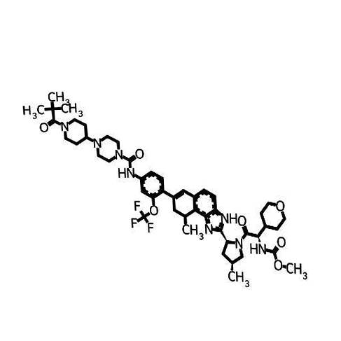 COC(=O)N[C@H](C(=O)N1C[C@@H](C)C[C@H]1c1nc2c3c(ccc2[nH]1)C=C(c1ccc(NC(=O)N2CCN(C4CCN(C(=O)C(C)(C)C)CC4)CC2)cc1OC(F)(F)F)CC3C)C1CCOCC1